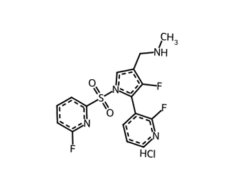 CNCc1cn(S(=O)(=O)c2cccc(F)n2)c(-c2cccnc2F)c1F.Cl